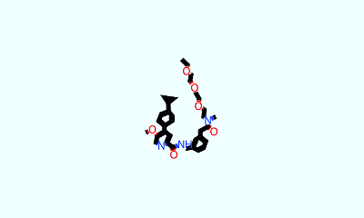 CCOCCOCCOCCN(C)C(=O)Cc1cccc(CNC(=O)c2cc(-c3ccc(C4CC4)cc3)c(OC)cn2)c1